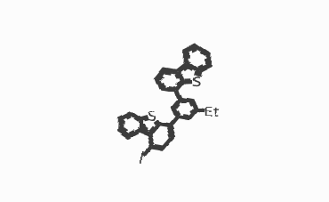 CCc1cc(C2=CCC(I)c3c2sc2ccccc32)cc(-c2cccc3c2sc2ccccc23)c1